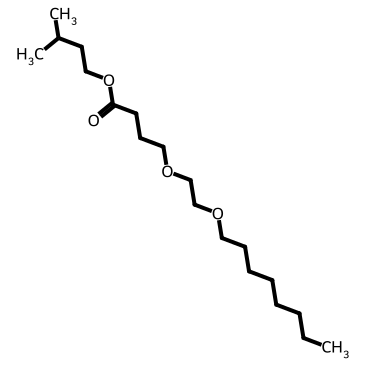 CCCCCCCCOCCOCCCC(=O)OCCC(C)C